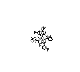 CC(=O)O[C@@H](C)C(=O)N(C[C@@H]1CN(C(=O)OC(C)(C)C)C[C@@H]1F)[C@@H](c1nc(-c2cc(F)ccc2F)cn1Cc1ccccc1)C(C)(C)CC=N